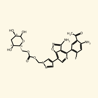 CC(=O)c1cc(-c2ncc(-c3cnn(COC(=O)OC[C@H]4OC(O)[C@H](O)C[C@@H]4O)c3)c3onc(N)c23)c(F)cc1N